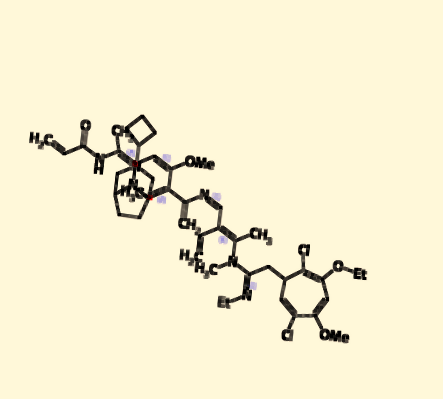 C=CC(=O)N/C(C)=C(/C=C(OC)\C(=C/C)C(=C)/N=C\C(C=C)=C(/C)N(C)/C(CC1C=C(Cl)C(OC)=CC(OCC)=C1Cl)=N\CC)N1C2CCC1CN(C1CCC1)C2